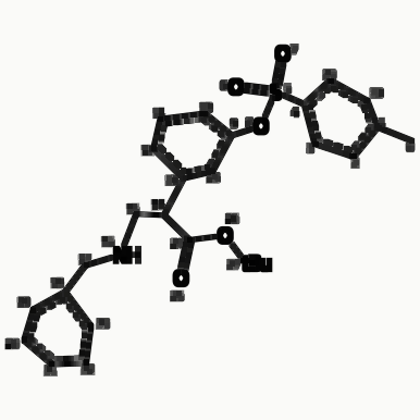 Cc1ccc(S(=O)(=O)Oc2cccc(C(CNCc3ccccc3)C(=O)OC(C)(C)C)c2)cc1